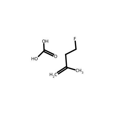 C=C(C)CCF.O=C(O)O